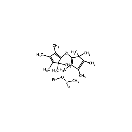 CC1=C(C)C(C)(C)[C]([Zr][C]2=C(C)C(C)=C(C)C2(C)C)=C1C.CCO[SiH2]C